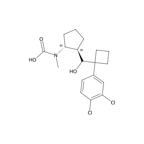 CN(C(=O)O)[C@@H]1CCC[C@H]1C(O)C1(c2ccc(Cl)c(Cl)c2)CCC1